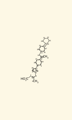 CN(CC(=O)O)Cc1nc(-c2ccc(N(C)Cc3ccc(C4CCCCC4)cc3)cc2)cs1